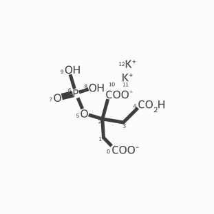 O=C([O-])CC(CC(=O)O)(OP(=O)(O)O)C(=O)[O-].[K+].[K+]